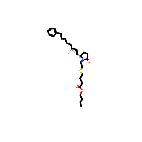 CCCCOC(=O)CCCSCCN1C(=O)CC[C@@H]1/C=C/[C@H](O)CCCCCc1ccccc1